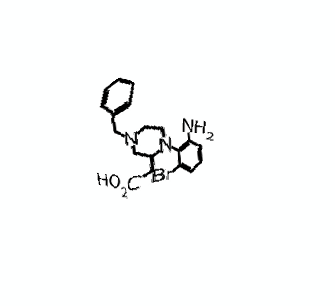 Nc1cccc(Br)c1N1CCN(Cc2ccccc2)CC1CC(=O)O